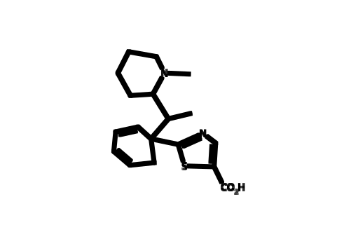 CC(C1CCCCN1C)C1(c2ncc(C(=O)O)s2)C=CC=CC1